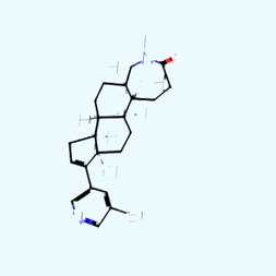 CCc1cncc(C2=CC[C@H]3[C@@H]4CC[C@H]5CNC(=O)CC[C@]5(C)[C@H]4CC[C@]23C)c1